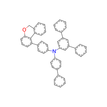 c1ccc(-c2ccc(N(c3ccc(-c4cccc5c4-c4ccccc4CO5)cc3)c3cc(-c4ccccc4)cc(-c4ccccc4)c3)cc2)cc1